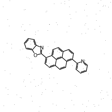 c1ccc(-c2ccc3ccc4c(-c5nc6ccccc6o5)ccc5ccc2c3c54)nc1